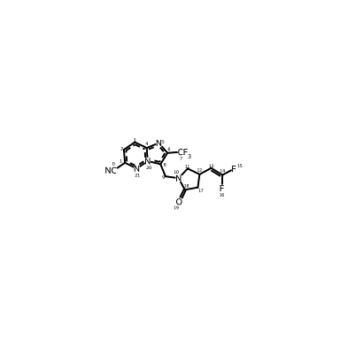 N#Cc1ccc2nc(C(F)(F)F)c(CN3CC(C=C(F)F)CC3=O)n2n1